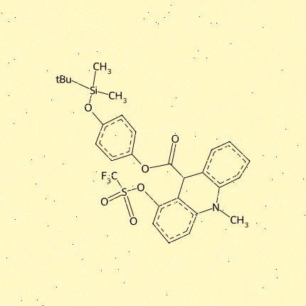 CN1c2ccccc2C(C(=O)Oc2ccc(O[Si](C)(C)C(C)(C)C)cc2)c2c(OS(=O)(=O)C(F)(F)F)cccc21